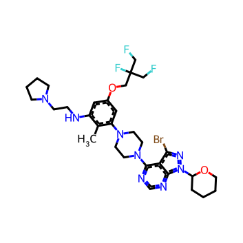 Cc1c(NCCN2CCCC2)cc(OCC(F)(CF)CF)cc1N1CCN(c2ncnc3c2c(Br)nn3C2CCCCO2)CC1